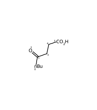 CCCCC(=O)CCC(=O)O